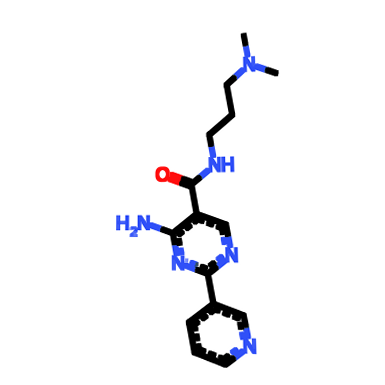 CN(C)CCCNC(=O)c1cnc(-c2cccnc2)nc1N